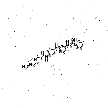 CN1CCN(CCC(=O)Nc2ccc(Nc3nccc(NCC(O)c4ccccc4)n3)cc2)CC1